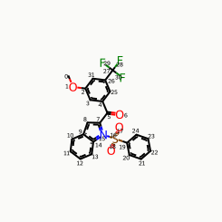 COc1cc(C(=O)c2cc3ccccc3n2S(=O)(=O)c2ccccc2)cc(C(F)(F)F)c1